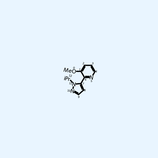 COc1cccnc1-c1ccnn1C(C)C